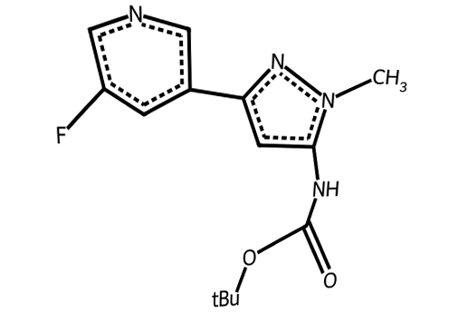 Cn1nc(-c2cncc(F)c2)cc1NC(=O)OC(C)(C)C